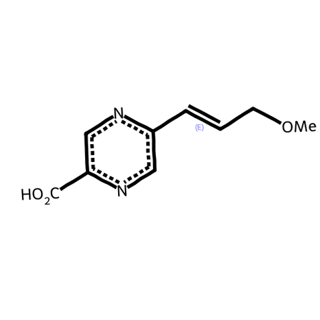 COC/C=C/c1cnc(C(=O)O)cn1